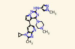 Cc1nc2ncc(-c3ccn4nc(Nc5cnn(C)c5)nc(N5CCN(C)CC5)c34)cc2n1C1CC1